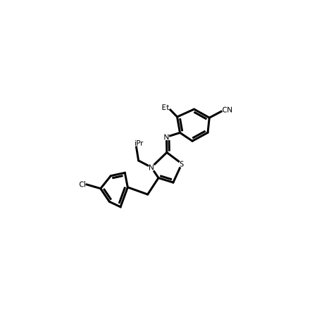 CCc1cc(C#N)ccc1N=c1scc(Cc2ccc(Cl)cc2)n1CC(C)C